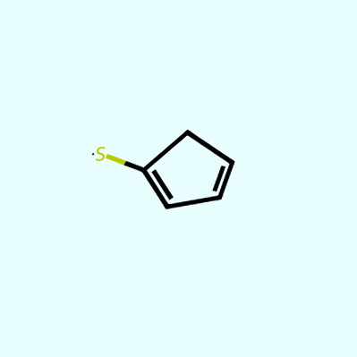 [S]C1=CC=CC1